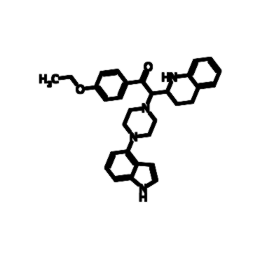 CCOc1ccc(C(=O)C(C2CCc3ccccc3N2)N2CCN(c3cccc4[nH]ccc34)CC2)cc1